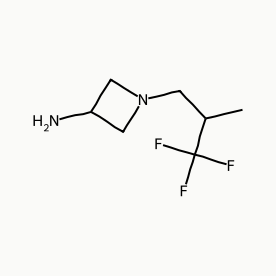 CC(CN1CC(N)C1)C(F)(F)F